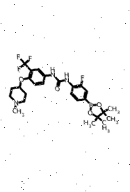 CN1CCC(Oc2ccc(NC(=O)Nc3ccc(B4OC(C)(C)C(C)(C)O4)cc3F)cc2C(F)(F)F)CC1